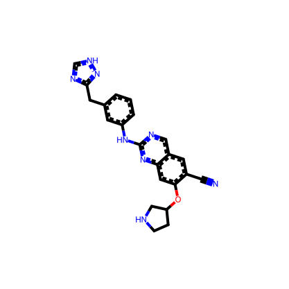 N#Cc1cc2cnc(Nc3cccc(Cc4nc[nH]n4)c3)nc2cc1OC1CCNC1